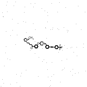 CCN1CCC[C@@H]1CCCCC(=O)c1cccc(OC2CCN(Cc3cccc(C#Cc4ccc(C(F)(F)F)cc4)c3)CC2)c1